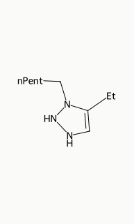 CCCCCCN1NNC=C1CC